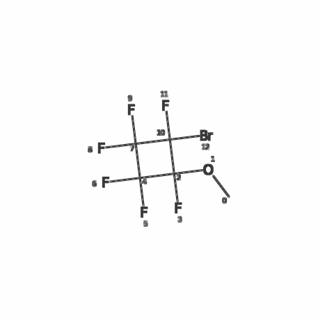 COC1(F)C(F)(F)C(F)(F)C1(F)Br